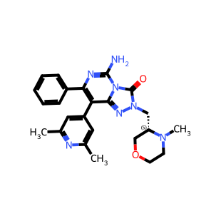 Cc1cc(-c2c(-c3ccccc3)nc(N)n3c(=O)n(C[C@H]4COCCN4C)nc23)cc(C)n1